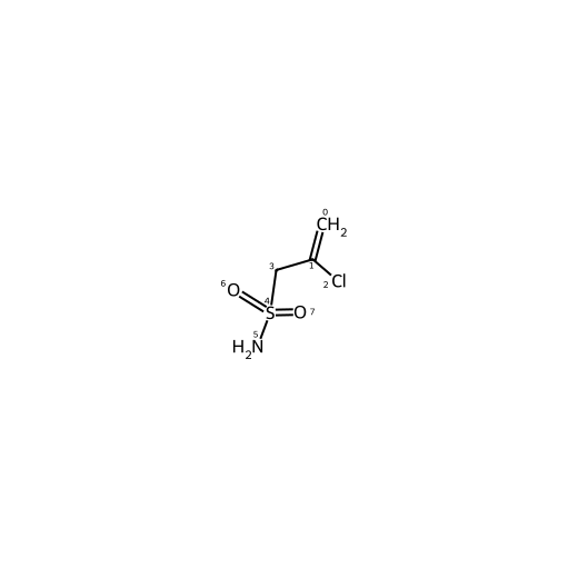 C=C(Cl)CS(N)(=O)=O